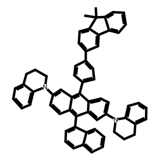 CC1(C)c2ccccc2-c2cc(-c3ccc(-c4c5cc(N6CCCc7ccccc76)ccc5c(-c5cccc6ccccc56)c5cc(N6CCCc7ccccc76)ccc45)cc3)ccc21